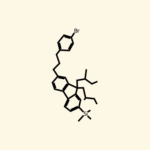 CCC(C)CC1(CC(C)CC)c2cc(CCCc3ccc(Br)cc3)ccc2-c2ccc([Si](C)(C)C)cc21